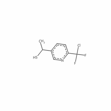 CC(S)c1ccc(C(F)(F)Cl)nc1